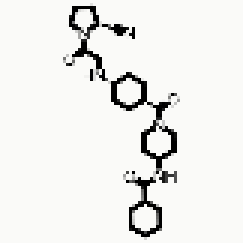 N#C[C@@H]1CCCN1C(=O)CN[C@H]1CC[C@H](C(=O)N2CCC(NC(=O)C3CCCCC3)CC2)CC1